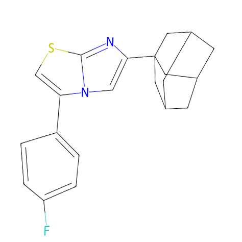 Fc1ccc(-c2csc3nc(C45CC6CC(CC(C6)C4)C5)cn23)cc1